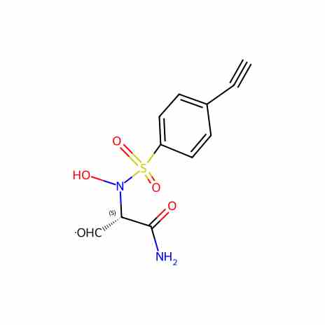 C#Cc1ccc(S(=O)(=O)N(O)[C@@H]([C]=O)C(N)=O)cc1